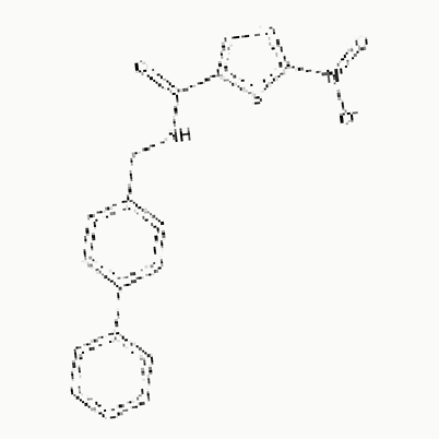 O=C(NCc1ccc(-c2ccccc2)cc1)c1ccc([N+](=O)[O-])s1